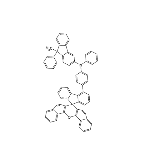 CC1(c2ccccc2)c2ccccc2-c2cc(N(c3ccccc3)c3ccc(-c4cccc5c4-c4ccccc4C54c5ccc6ccccc6c5Oc5c4ccc4ccccc54)cc3)ccc21